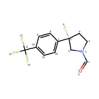 O=CN1CC[C@](F)(c2ccc(C(F)(F)F)cc2)C1